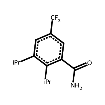 CC(C)c1cc(C(F)(F)F)cc(C(N)=O)c1C(C)C